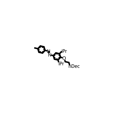 CCCCCCCCCCCCOc1c(C(C)C)cc(/N=N/c2ccc(C)cc2)cc1C(C)C